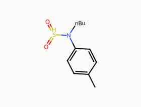 CCCCN(c1ccc(C)cc1)[SH](=O)=O